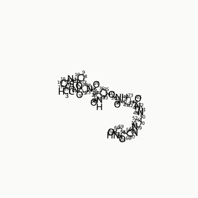 CNC(=O)C1(Oc2ccccc2-c2nc3cccc(Cl)c3s2)CCN(C(=O)[C@H]2CC(=O)Nc3cc(OCNC(=O)C4CCC(C(=O)N5CCN(CC6CCN(c7cc(C8CCC(=O)NC8=O)ccn7)CC6)CC5)CC4)ccc32)CC1